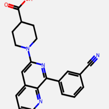 N#Cc1cccc(-c2nc(N3CCC(C(=O)O)CC3)cc3cccnc23)c1